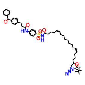 CC(C)(C)[Si](C)(C)OC(CCC/C=C\CCCCCCC/C=C\CCCC(=O)NS(=O)(=O)c1ccc(NC(=O)CCc2ccc(C(=O)c3ccccc3)cc2)cc1)CN=[N+]=[N-]